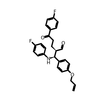 C=CCOc1ccc([C@@H](Nc2ccc(F)cc2)[C@H](C=O)CCC(=O)c2ccc(F)cc2)cc1